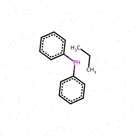 CCC.c1ccc(Pc2ccccc2)cc1